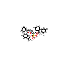 CC(C)(C)[Si](OCC(CO[Si](c1ccccc1)(c1ccccc1)C(C)(C)C)S(=O)(=O)OC1CCC1)(c1ccccc1)c1ccccc1